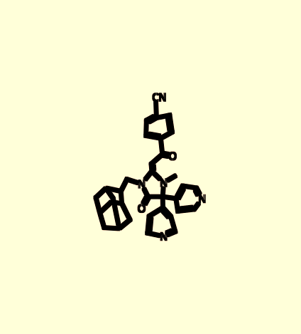 CN1C(=CC(=O)c2ccc(C#N)cc2)N(CC2C3CC4CC(C3)CC2C4)C(=O)C1(c1ccncc1)c1ccncc1